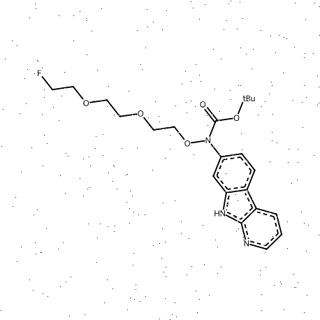 CC(C)(C)OC(=O)N(OCCOCCOCCF)c1ccc2c(c1)[nH]c1ncccc12